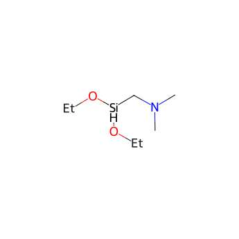 CCO[SiH](CN(C)C)OCC